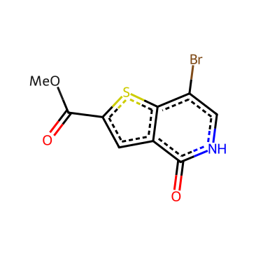 COC(=O)c1cc2c(=O)[nH]cc(Br)c2s1